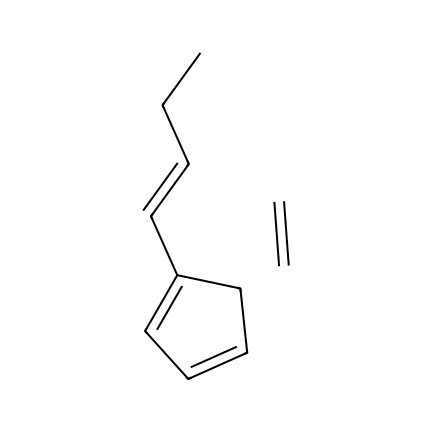 C=C.CCC=CC1=CC=CC1